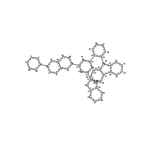 c1ccc(-c2ccc3cc(-c4nc(-c5cc6ccccc6o5)nc(-c5ccccc5-n5c6ccccc6c6ccccc65)n4)ccc3c2)cc1